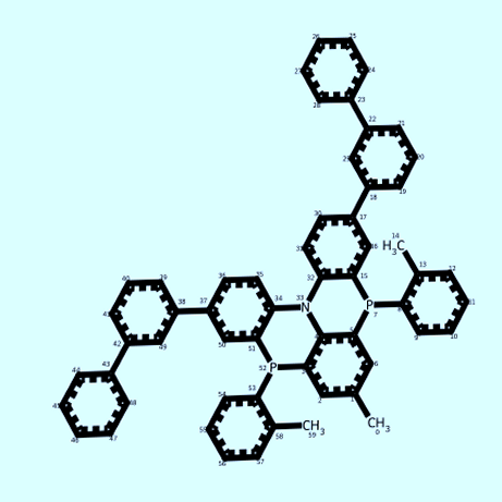 Cc1cc2c3c(c1)P(c1ccccc1C)c1cc(-c4cccc(-c5ccccc5)c4)ccc1N3c1ccc(-c3cccc(-c4ccccc4)c3)cc1P2c1ccccc1C